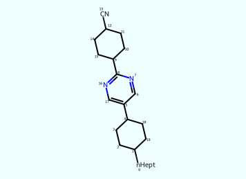 CCCCCCCC1CCC(c2cnc(C3CCC(C#N)CC3)nc2)CC1